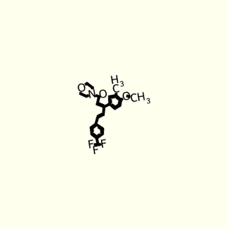 COc1ccc(C(=C\C(=O)N2CCOCC2)/C=C/c2ccc(C(F)(F)F)cc2)cc1C